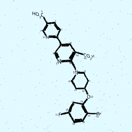 O=C(O)c1ccc(-c2cnc(N3CCC(Oc4cc(F)ccc4Br)CC3)c(C(=O)O)c2)nc1